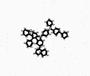 c1ccc(-c2ccc(N(c3ccccc3)c3ccc(-n4c5ccc(-c6cccc7ccccc67)cc5c5c(-c6ccccc6)c6c(cc54)oc4ccccc46)cc3)cc2)cc1